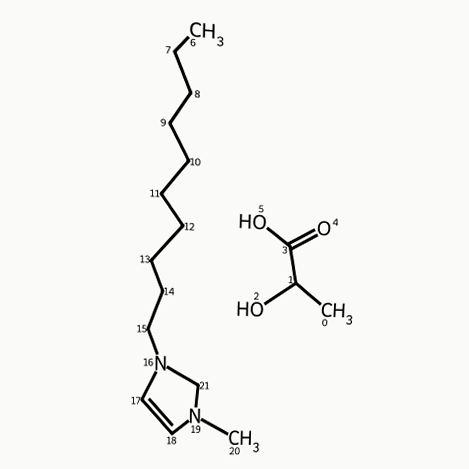 CC(O)C(=O)O.CCCCCCCCCCN1C=CN(C)C1